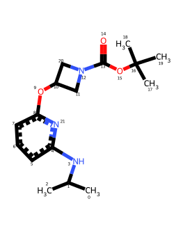 CC(C)Nc1cccc(OC2CN(C(=O)OC(C)(C)C)C2)n1